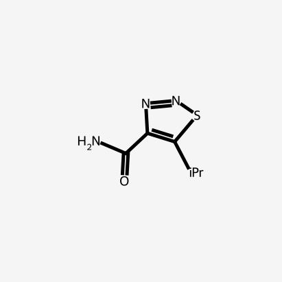 CC(C)c1snnc1C(N)=O